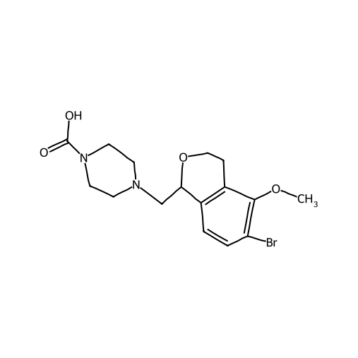 COc1c(Br)ccc2c1CCOC2CN1CCN(C(=O)O)CC1